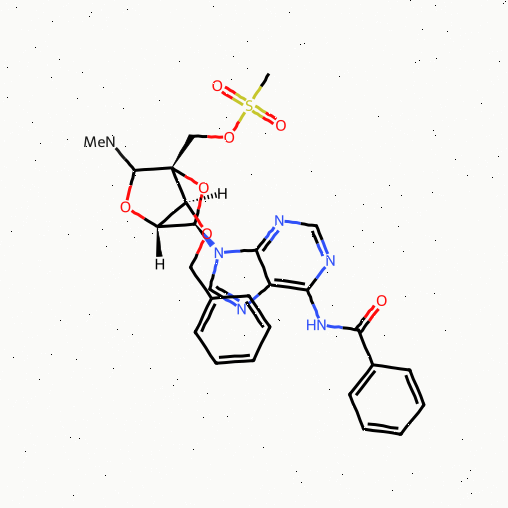 CNC1O[C@H]2[C@H](n3cnc4c(NC(=O)c5ccccc5)ncnc43)O[C@]1(COS(C)(=O)=O)[C@H]2OCc1ccccc1